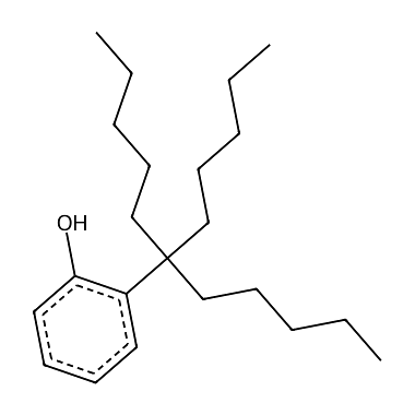 CCCCCC(CCCCC)(CCCCC)c1ccccc1O